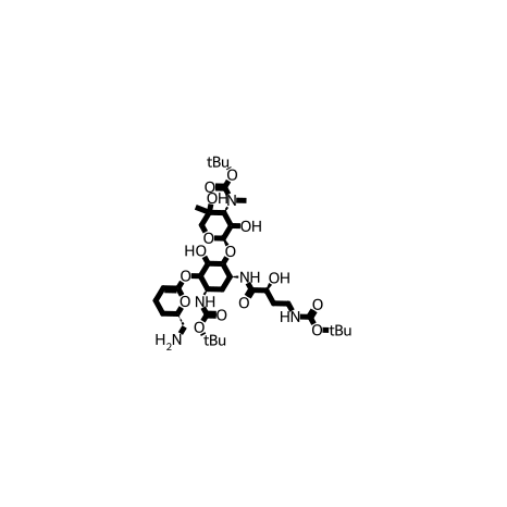 CN(C(=O)OC(C)(C)C)[C@@H]1C(O)[C@@H](OC2C(O)C(OC3=CCC[C@@H](CN)O3)[C@@H](NC(=O)OC(C)(C)C)C[C@H]2NC(=O)[C@@H](O)CCNC(=O)OC(C)(C)C)OCC1(C)O